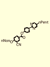 CCCCCCCCCOc1ccc(C(=O)Oc2ccc(-c3ncc(CCCCC)cn3)cc2)cc1C#N